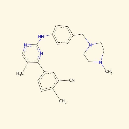 Cc1ccc(-c2nc(Nc3ccc(CN4CCN(C)CC4)cc3)ncc2C)cc1C#N